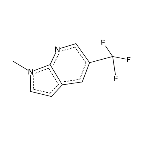 Cn1ccc2cc(C(F)(F)F)cnc21